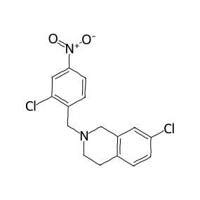 O=[N+]([O-])c1ccc(CN2CCc3ccc(Cl)cc3C2)c(Cl)c1